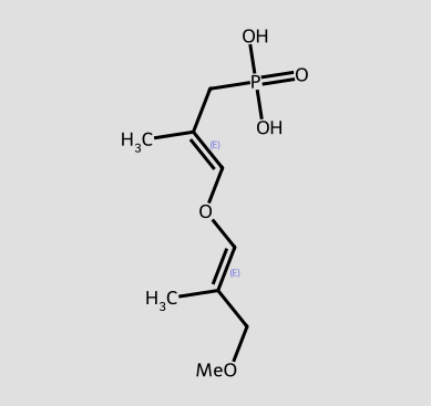 COC/C(C)=C/O/C=C(\C)CP(=O)(O)O